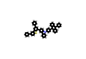 c1ccc(-c2ccc3sc4c(-c5ccc6c(c5)c5ccccc5n6-c5ccc(-c6c7ccccc7c(-c7ccccc7)c7ccccc67)cc5)cc(-c5ccccc5)cc4c3c2)cc1